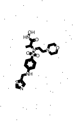 CC(C(=O)NO)N(CCN1CCOCC1)S(=O)(=O)c1ccc(NCc2cncs2)cc1